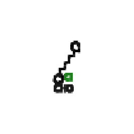 O=Cc1ccc(CCCCCCc2ccccc2)c(Cl)c1